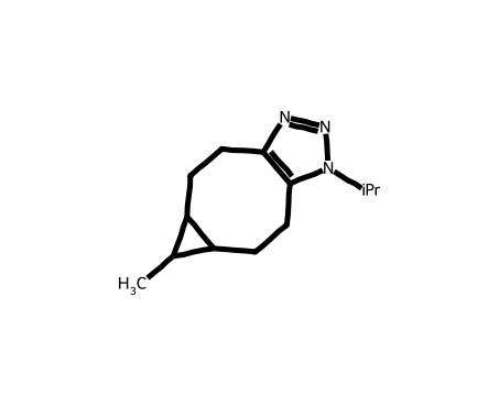 CC1C2CCc3nnn(C(C)C)c3CCC12